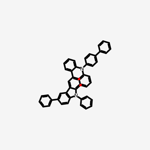 c1ccc(-c2ccc(N(c3ccccc3)c3ccccc3-c3ccc4c(c3)c3cc(-c5ccccc5)ccc3n4-c3ccccc3)cc2)cc1